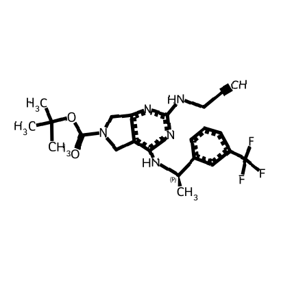 C#CCNc1nc2c(c(N[C@H](C)c3cccc(C(F)(F)F)c3)n1)CN(C(=O)OC(C)(C)C)C2